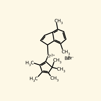 CC1=C(C)C(C)(C)[C]([Zr+2][CH]2C=Cc3c(C)ccc(C)c32)=C1C.[Br-].[Br-]